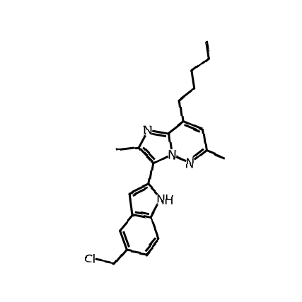 CCCCCc1cc(C)nn2c(-c3cc4cc(CCl)ccc4[nH]3)c(C)nc12